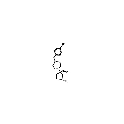 C=C[C@]1(N2CCN(Cc3ccc(C#N)cc3)CC2)CCO[C@@H](C)C1